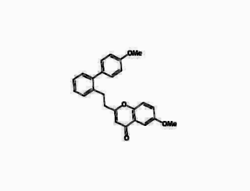 COc1ccc(-c2ccccc2CCc2cc(=O)c3cc(OC)ccc3o2)cc1